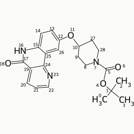 CC(C)(C)OC(=O)N1CCC(Oc2ccc3[nH]c(=O)c4cccnc4c3c2)CC1